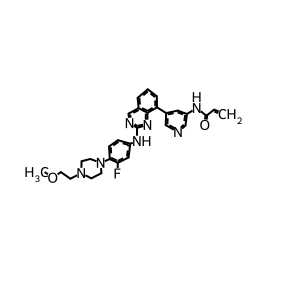 C=CC(=O)Nc1cncc(-c2cccc3cnc(Nc4ccc(N5CCN(CCOC)CC5)c(F)c4)nc23)c1